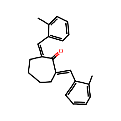 Cc1ccccc1C=C1CCCCC(=Cc2ccccc2C)C1=O